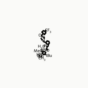 COc1c(NC(=O)c2cc3cccc(CN4CCN(C(=O)c5ccc(C(F)(F)F)cc5)CC4)c3n2C)cc(C(C)(C)C)cc1NS(C)(=O)=O